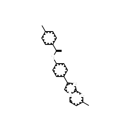 Cc1ccc(C(=O)Nc2ccc(-c3cn4ccc(C)nc4n3)cc2)cc1